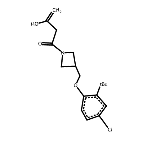 C=C(O)CC(=O)N1CC(COc2ccc(Cl)cc2C(C)(C)C)C1